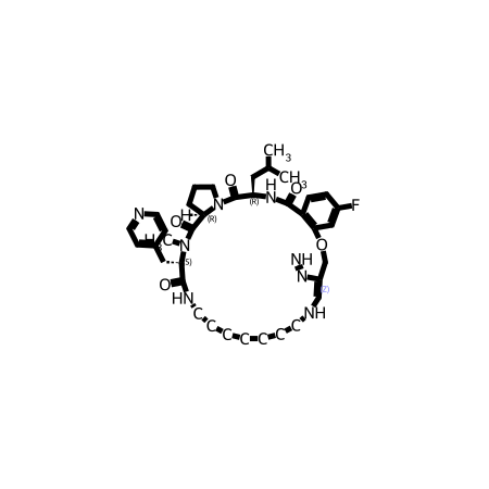 CC(C)C[C@H]1NC(=O)c2ccc(F)cc2OC/C(N=N)=C/NCCCCCCCNC(=O)[C@H](Cc2ccncc2)N(C)C(=O)[C@H]2CCCN2C1=O